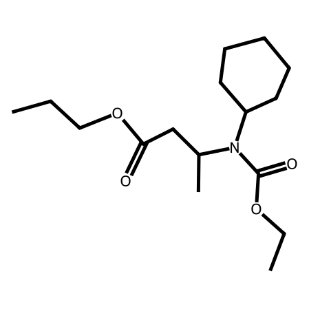 CCCOC(=O)CC(C)N(C(=O)OCC)C1CCCCC1